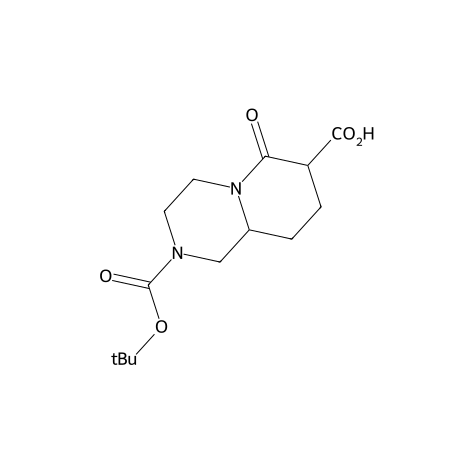 CC(C)(C)OC(=O)N1CCN2C(=O)C(C(=O)O)CCC2C1